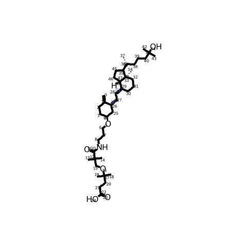 C=C1CC[C@H](OCCCNC(=O)C(C)(C)COC(C)(C)CCC(=O)O)C/C1=C/C=C1\CCC[C@]2(C)C([C@H](C)CCCC(C)(C)O)CC[C@@H]12